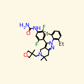 CCc1cccc(CC)c1-n1nc2c(c1-c1cc(F)c(NC(N)=O)cc1F)CN(CC1(C)COC1)C(C)(C)C2